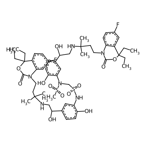 CCC1(CC)OC(=O)N(CCC(C)(C)NCC(O)c2ccc(O)c(NS(=O)(=O)CN(c3cc(C(O)CNC(C)(C)CCN4C(=O)OC(CC)(CC)c5cc(F)ccc54)ccc3O)S(C)(=O)=O)c2)c2cc(F)ccc21